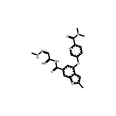 CN/N=C\C(=N)NC(=O)c1cc(Oc2ccc(C(=O)N(C)C)nc2)c2cc(C)oc2c1